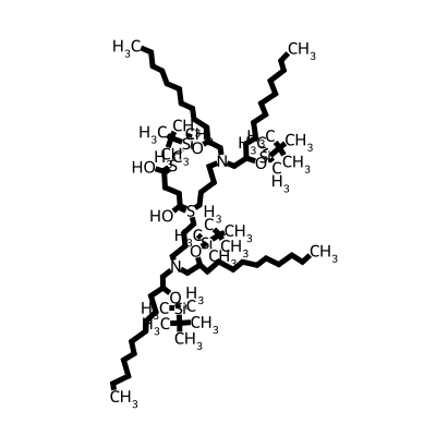 CCCCCCCCCCC(CN(CCCCS(CCCCN(CC(CCCCCCCCCC)O[Si](C)(C)C(C)(C)C)CC(CCCCCCCCCC)O[Si](C)(C)C(C)(C)C)=C(O)CCC(O)=S)CC(CCCCCCCCCC)O[Si](C)(C)C(C)(C)C)O[Si](C)(C)C(C)(C)C